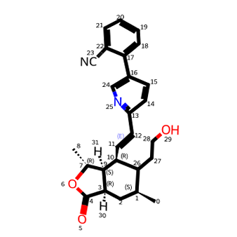 C[C@H]1C[C@H]2C(=O)O[C@H](C)[C@H]2[C@@H](/C=C/c2ccc(-c3ccccc3C#N)cn2)C1CCO